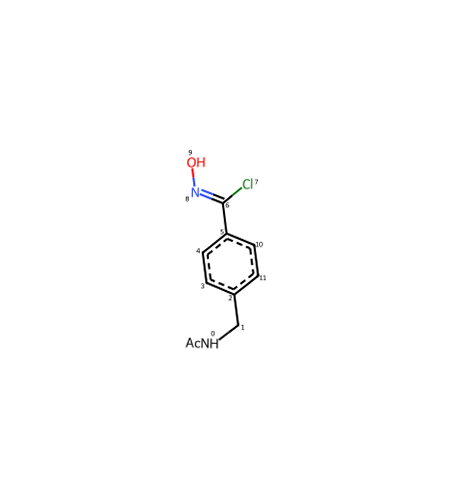 CC(=O)NCc1ccc(/C(Cl)=N/O)cc1